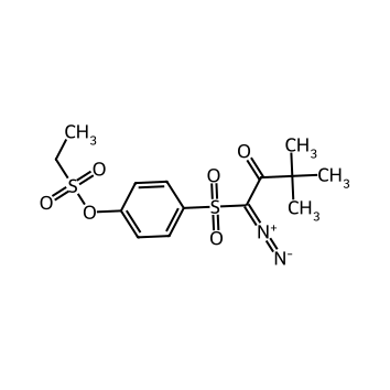 CCS(=O)(=O)Oc1ccc(S(=O)(=O)C(=[N+]=[N-])C(=O)C(C)(C)C)cc1